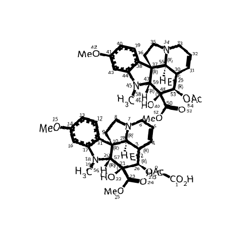 CC(=O)O.CC[C@]12C=CCN3CC[C@@]4(c5ccc(OC)cc5N(C)[C@H]4[C@@](O)(C(=O)OC)[C@@H]1OC(C)=O)[C@@H]32.CC[C@]12C=CCN3CC[C@@]4(c5ccc(OC)cc5N(C)[C@H]4[C@@](O)(C(=O)OC)[C@@H]1OC(C)=O)[C@@H]32